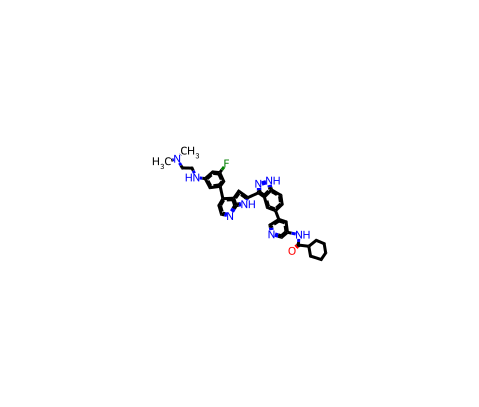 CN(C)CCNc1cc(F)cc(-c2ccnc3[nH]c(-c4n[nH]c5ccc(-c6cncc(NC(=O)C7CCCCC7)c6)cc45)cc23)c1